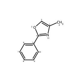 Cc1coc(-c2ccccc2)n1